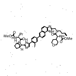 C=CCCN(Cc1nc2ccc3cc(-c4ccc(-c5cnc(C6[C@H]7CC[C@H](C7)N6C(=O)[C@@H](NC(=O)OC)C(C)C)[nH]5)c(F)c4)ccc3c2[nH]1)C(=O)[C@@H](NC(=O)OC)C1CCOCC1